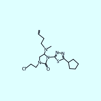 C=CCCN(C)C1CN(CCCl)C(=O)N1c1nnc(C2CCCC2)s1